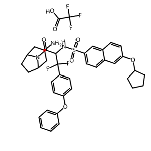 NC1CC2CCC(C1)N2C(=O)C(NS(=O)(=O)c1ccc2cc(OC3CCCC3)ccc2c1)C(F)(F)c1ccc(Oc2ccccc2)cc1.O=C(O)C(F)(F)F